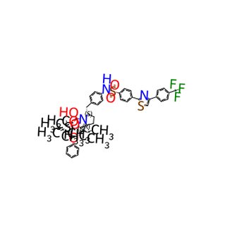 CC(C)(C)[C@@]1([C@@H](COc2ccccc2)O[Si](C)(C)C(C)(C)C)CC[C@@H](Cc2ccc(NS(=O)(=O)c3ccc(-c4nc(-c5ccc(C(F)(F)F)cc5)cs4)cc3)cc2)N1C(=O)O